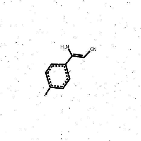 Cc1ccc(C(N)=CC#N)cc1